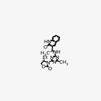 CC[C@H]1COC(=O)N1c1nc(C)nc(N[C@H](C)c2cc3ccccc3[nH]c2=O)n1